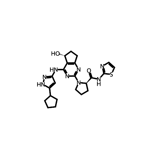 O=C(Nc1nccs1)[C@H]1CCCN1c1nc2c(c(Nc3cc(C4CCCC4)[nH]n3)n1)[C@H](O)CC2